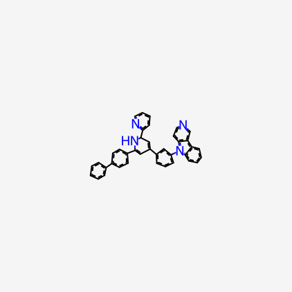 C1=C(c2cccc(-n3c4ccccc4c4cnccc43)c2)C=C(c2ccc(-c3ccccc3)cc2)NC1c1ccccn1